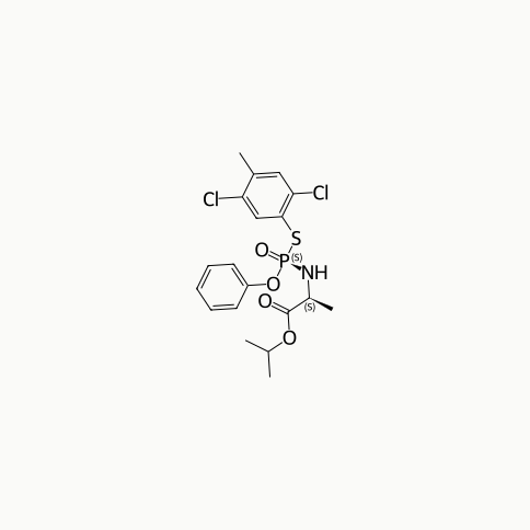 Cc1cc(Cl)c(S[P@](=O)(N[C@@H](C)C(=O)OC(C)C)Oc2ccccc2)cc1Cl